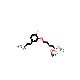 CCO[Si](CCCCOc1cc(C=CC(=O)O)ccc1F)(OCC)OCC